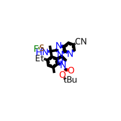 CCc1cc(C)c2c(ccn2C(=O)OC(C)(C)C)c1C(C)(NSF)c1nc2cc(C#N)cnc2[nH]1